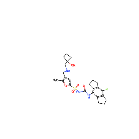 Cc1oc(S(=O)(=O)NC(=O)Nc2c3c(c(F)c4c2CCC4)CCC3)cc1CNCC1(O)CCC1